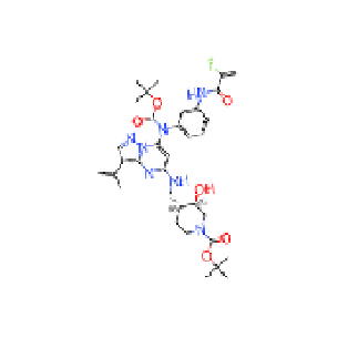 C=C(F)C(=O)Nc1cccc(N(C(=O)OC(C)(C)C)c2cc(NC[C@H]3CCN(C(=O)OC(C)(C)C)C[C@@H]3O)nc3c(C(C)C)cnn23)c1